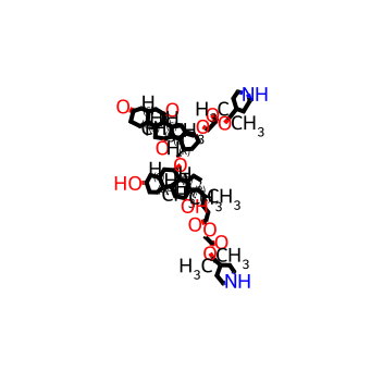 C[C@H](CCC(=O)OCC(=O)OC(C)(C)C1CCNCC1)[C@H]1CC[C@H]2[C@@H]3C(OC[C@@H]4CCC(OCC(=O)OC(C)(C)C5CCNCC5)=C5C[C@H]6[C@@H]7C(=O)C[C@@H]8CC(=O)CC[C@]8(C)[C@H]7CC(=O)[C@]6(C)[C@H]54)C[C@@H]4CC(O)CC[C@]4(C)[C@H]3CC(O)[C@]12C